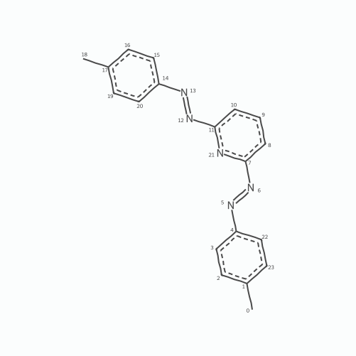 Cc1ccc(/N=N/c2cccc(/N=N/c3ccc(C)cc3)n2)cc1